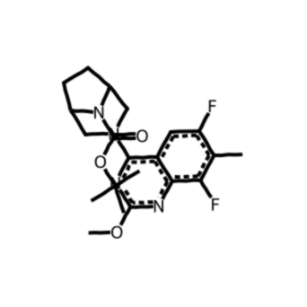 COc1nc(N2CC3CCC(C2)N3C(=O)OC(C)(C)C)c2cc(F)c(C)c(F)c2n1